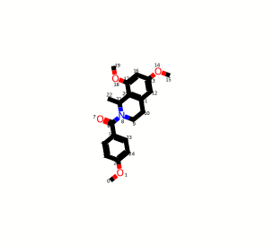 COc1ccc(C(=O)N2CCc3cc(OC)cc(OC)c3C2C)cc1